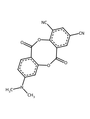 CN(C)c1ccc2c(c1)OC(=O)c1cc(C#N)cc(C#N)c1OC2=O